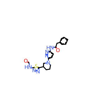 O=CNc1nnc(C2CCCN(c3ccc(NC(=O)Cc4ccccc4)nn3)C2)s1